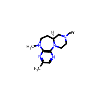 CC(C)N1CCN2c3ncc(C(F)(F)F)nc3N(C)CC[C@H]2C1